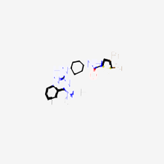 CN(C)c1nc(N[C@H]2CC[C@@H](NC(=O)c3cc(Br)c(Br)s3)CC2)nc2ccccc12